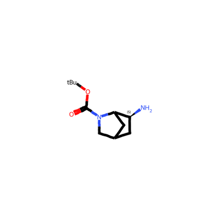 CC(C)(C)OC(=O)N1CC2CC1[C@@H](N)C2